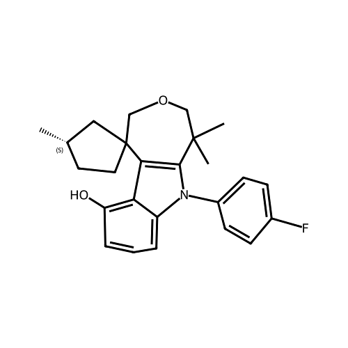 C[C@H]1CCC2(COCC(C)(C)c3c2c2c(O)cccc2n3-c2ccc(F)cc2)C1